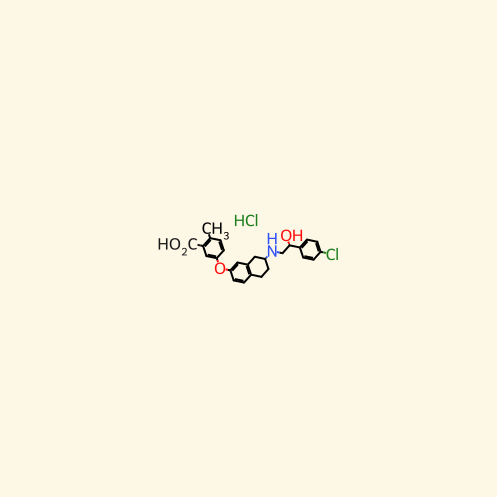 Cc1ccc(Oc2ccc3c(c2)C[C@@H](NC[C@@H](O)c2ccc(Cl)cc2)CC3)cc1C(=O)O.Cl